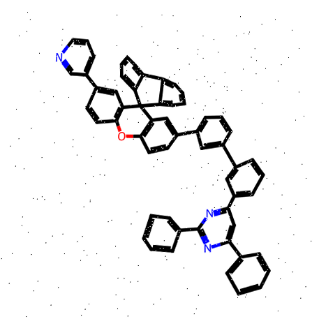 c1ccc(-c2cc(-c3cccc(-c4cccc(-c5ccc6c(c5)C5(c7cc(-c8cccnc8)ccc7O6)c6ccccc6-c6ccccc65)c4)c3)nc(-c3ccccc3)n2)cc1